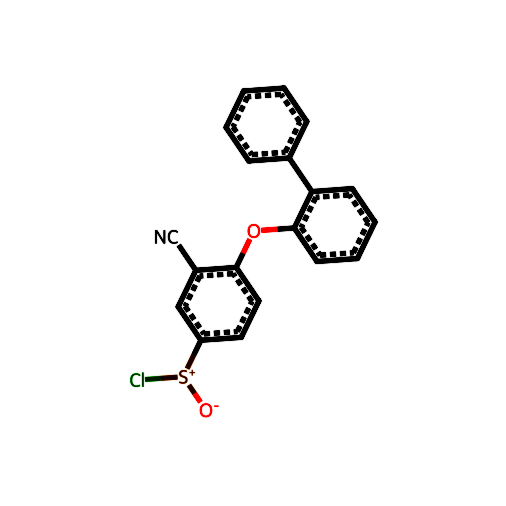 N#Cc1cc([S+]([O-])Cl)ccc1Oc1ccccc1-c1ccccc1